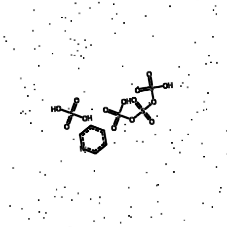 O=S(=O)(O)O.O=S(=O)(O)OS(=O)(=O)OS(=O)(=O)O.c1ccncc1